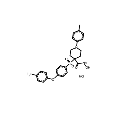 Cc1ccc(N2CCC(C(=O)NO)(S(=O)(=O)c3ccc(Oc4ccc(C(F)(F)F)cc4)cc3)CC2)cc1.Cl